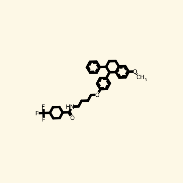 COc1ccc2c(c1)CCC(c1ccccc1)C2c1ccc(OCCCCNC(=O)C2CCC(C(F)(F)F)CC2)cc1